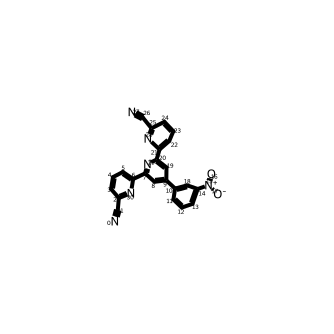 N#Cc1cccc(-c2cc(-c3cccc([N+](=O)[O-])c3)cc(-c3cccc(C#N)n3)n2)n1